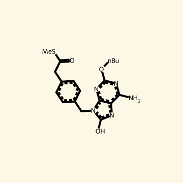 CCCCOc1nc(N)c2nc(O)n(Cc3ccc(CC(=O)SC)cc3)c2n1